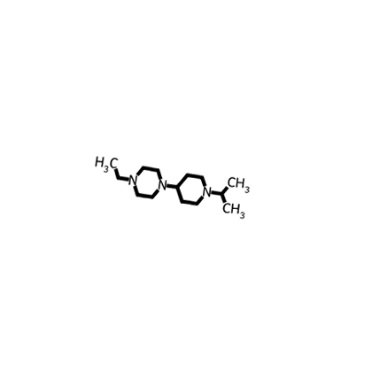 CCN1CCN(C2CCN(C(C)C)CC2)CC1